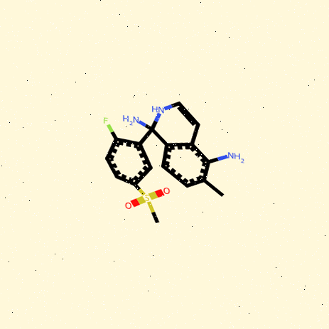 Cc1ccc2c(c1N)C=CNC2(N)c1cc(S(C)(=O)=O)ccc1F